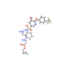 CCOC(=O)CNC1=C(C=N)C(NS(=O)(=O)c2cnc(Oc3ccc(C(F)(F)F)cc3)c(Br)c2)CCC1